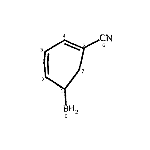 BC1C=CC=C(C#N)C1